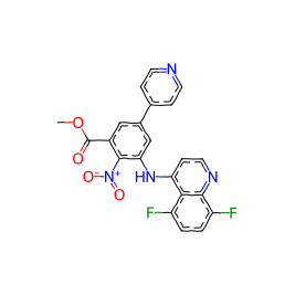 COC(=O)c1cc(-c2ccncc2)cc(Nc2ccnc3c(F)ccc(F)c23)c1[N+](=O)[O-]